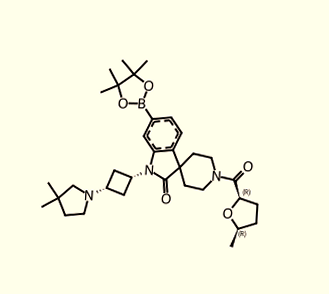 C[C@@H]1CC[C@H](C(=O)N2CCC3(CC2)C(=O)N([C@H]2C[C@@H](N4CCC(C)(C)C4)C2)c2cc(B4OC(C)(C)C(C)(C)O4)ccc23)O1